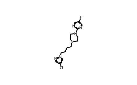 Fc1cnc(N2CCN(CCCCn3cc(Cl)cn3)CC2)nc1